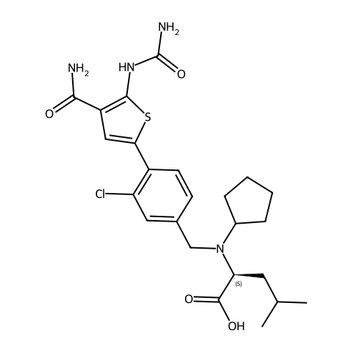 CC(C)C[C@@H](C(=O)O)N(Cc1ccc(-c2cc(C(N)=O)c(NC(N)=O)s2)c(Cl)c1)C1CCCC1